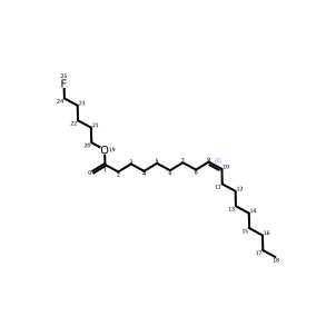 C=C(CCCCCCC/C=C\CCCCCCCC)OCCCCCF